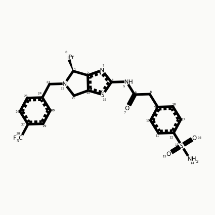 CC(C)[C@H]1c2nc(NC(=O)Cc3ccc(S(N)(=O)=O)cc3)sc2CN1Cc1ccc(C(F)(F)F)cc1